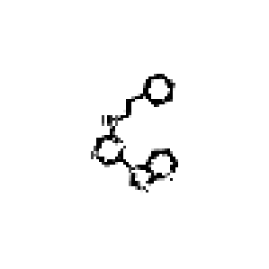 C(=Cc1ccccc1)Nc1cncc(-n2cnc3ncccc32)n1